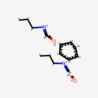 CCCN=C=O.CCCN=C=O.c1ccccc1